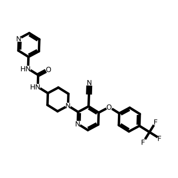 N#Cc1c(Oc2ccc(C(F)(F)F)cc2)ccnc1N1CCC(NC(=O)Nc2cccnc2)CC1